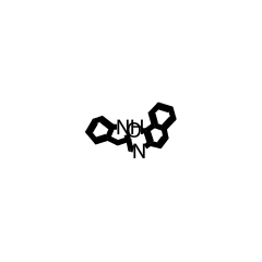 C1=Nc2ccc3ccccc3c2OC12Cc1ccccc1N2